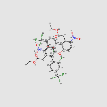 CCOC(=O)Cc1c([N+](=O)[O-])ccc(Oc2ccc([N+](=O)[O-])c(CC(=O)OCC)c2-c2ccc(C(F)(F)F)cc2F)c1-c1ccc(C(F)(F)F)cc1F